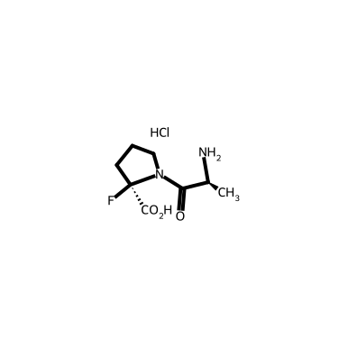 C[C@H](N)C(=O)N1CCC[C@@]1(F)C(=O)O.Cl